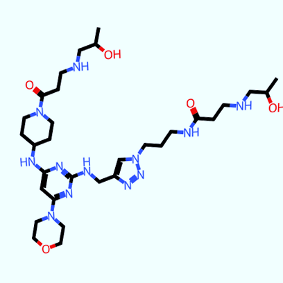 CC(O)CNCCC(=O)NCCCn1cc(CNc2nc(NC3CCN(C(=O)CCNCC(C)O)CC3)cc(N3CCOCC3)n2)nn1